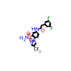 NS(=O)(=O)c1cc(NC(=O)Cc2cc(F)cc(F)c2)ccc1-n1cc(C(F)(F)F)cn1